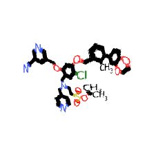 Cc1c(COc2cc(OCc3cncc(C#N)c3)c(CN(CCS(=O)(=O)OC(C)C)Cc3ccncc3)cc2Cl)cccc1-c1ccc2c(c1)OCCO2